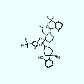 CCC[C@H]1N(C(=O)c2ncccc2C(F)(F)F)CCC[C@@]1(Oc1csc(C(F)(F)F)c1)C(=O)N1CCC(C#N)(c2ccccc2O)CC1